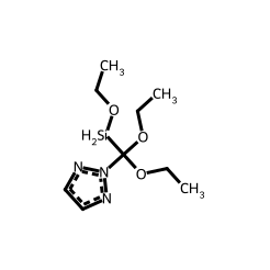 CCO[SiH2]C(OCC)(OCC)n1nccn1